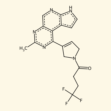 Cc1nc(C2=CCN(C(=O)CCC(F)(F)F)C2)c2c(cnc3[nH]ccc32)n1